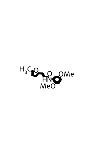 COc1ccc(OC)c(NC(=O)/C=C/C2CC=C(C)O2)c1